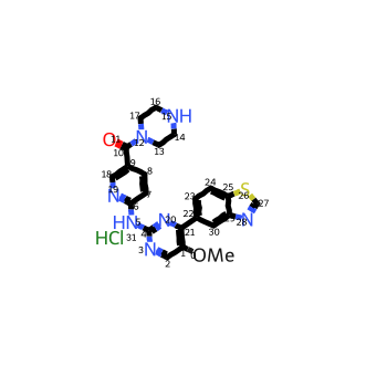 COc1cnc(Nc2ccc(C(=O)N3CCNCC3)cn2)nc1-c1ccc2scnc2c1.Cl